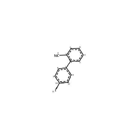 N#Cc1ccccc1-c1ccc(I)cc1